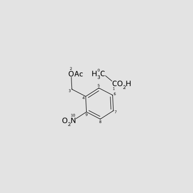 CC(=O)O.CC(=O)OCc1ccccc1[N+](=O)[O-]